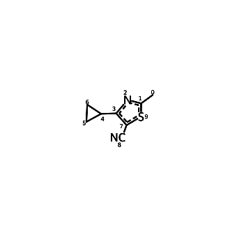 Cc1nc(C2CC2)c(C#N)s1